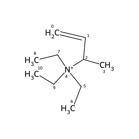 C=CC(C)[N+](CC)(CC)CC